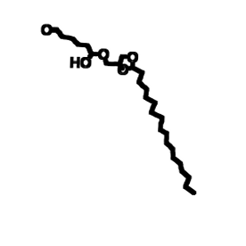 CCCCCCCCCCCCCCCCCC1OCC(COC(O)CCCCC=O)O1